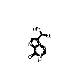 CCCC(CC)c1cnc2c(=O)[nH]cnn12